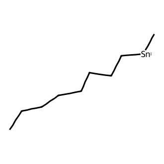 CCCCCCC[CH2][Sn][CH3]